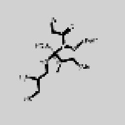 CCCCCON(C(=O)CC(C)C)[C@@](NCC(N)CS)(C(=O)O)[C@H](C)CSC